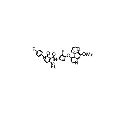 CCOc1ccn(-c2ccc(F)cc2)c(=O)c1C(=O)Nc1ccc(OC2=CC=NC3=CC(OC)=C4OCCOC4C32)c(F)c1